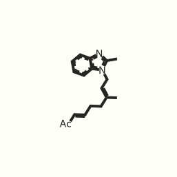 CC(=O)C=CCC/C(C)=C/Cn1c(C)nc2ccccc21